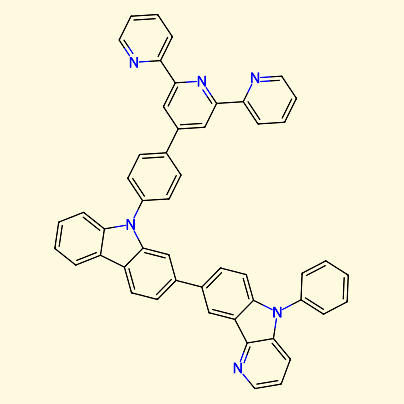 c1ccc(-n2c3ccc(-c4ccc5c6ccccc6n(-c6ccc(-c7cc(-c8ccccn8)nc(-c8ccccn8)c7)cc6)c5c4)cc3c3ncccc32)cc1